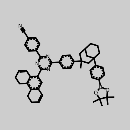 CC1(c2ccc(-c3nc(-c4ccc(C#N)cc4)nc(-c4cc5c(c6c4C=CCC6)CCC=C5)n3)cc2)CC2CCCC(c3ccc(B4OC(C)(C)C(C)(C)O4)cc3)(C2)C1